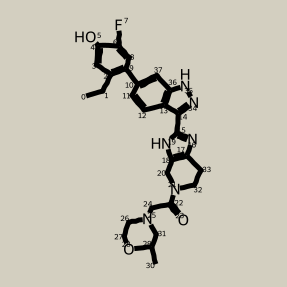 CCc1cc(O)c(F)cc1-c1ccc2c(-c3nc4c([nH]3)CN(C(=O)CN3CCOC(C)C3)CC4)n[nH]c2c1